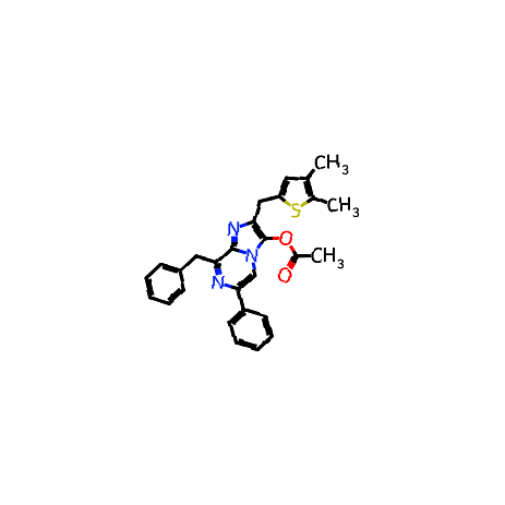 CC(=O)Oc1c(Cc2cc(C)c(C)s2)nc2c(Cc3ccccc3)nc(-c3ccccc3)cn12